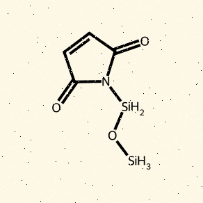 O=C1C=CC(=O)N1[SiH2]O[SiH3]